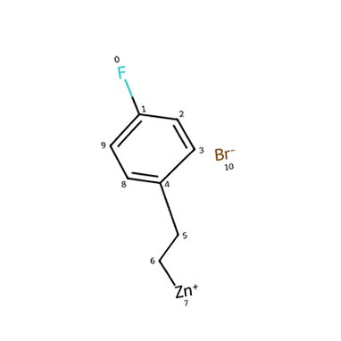 Fc1ccc(C[CH2][Zn+])cc1.[Br-]